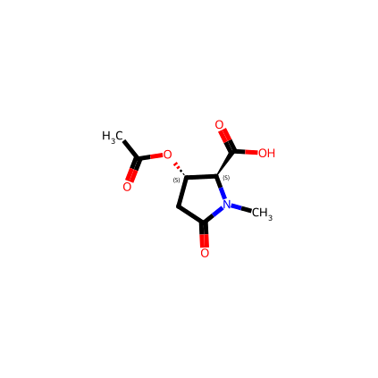 CC(=O)O[C@H]1CC(=O)N(C)[C@@H]1C(=O)O